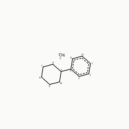 [CH].c1ccc(C2CCCCC2)cc1